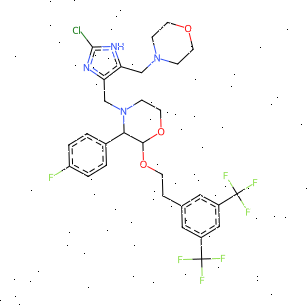 Fc1ccc(C2C(OCCc3cc(C(F)(F)F)cc(C(F)(F)F)c3)OCCN2Cc2nc(Cl)[nH]c2CN2CCOCC2)cc1